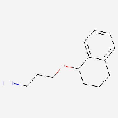 NCCCOC1CCCc2ccccc21